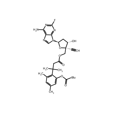 C#C[C@]1(COC(=O)CC(C)(C)c2c(C)cc(C)cc2OC(=O)C(C)(C)C)O[C@@H](n2cnc3c(N)nc(F)nc32)C[C@@H]1O